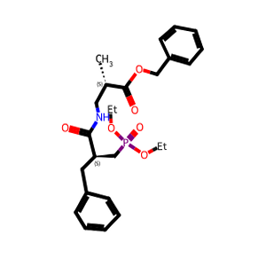 CCOP(=O)(C[C@@H](Cc1ccccc1)C(=O)NC[C@H](C)C(=O)OCc1ccccc1)OCC